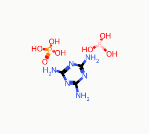 Nc1nc(N)nc(N)n1.O=P(O)(O)O.OB(O)O